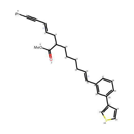 COC(=O)C(C/C=C/C#CC(C)C)CCCC/C=C/c1cccc(-c2ccsc2)c1